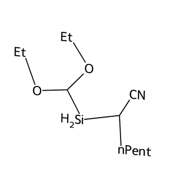 CCCCCC(C#N)[SiH2]C(OCC)OCC